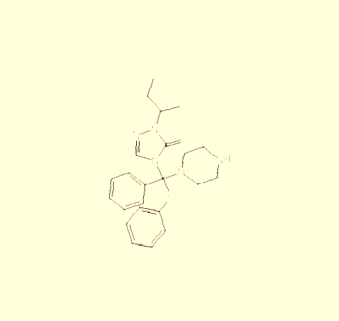 CCC(C)n1ncn(C(Oc2ccccc2)(c2ccccc2)N2CCNCC2)c1=O